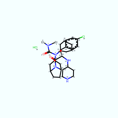 CCN(CC)C(=O)N(C1CCCCC1)C1CC2CCC(C1)N2C(=O)[C@@H](Cc1ccc(Cl)cc1)NC1CCNCC1.Cl